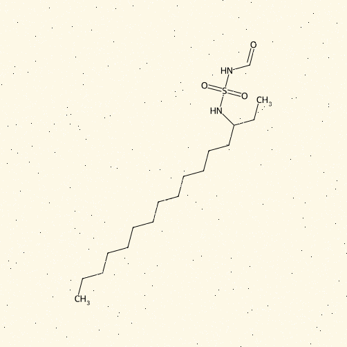 CCCCCCCCCCCCCC(CC)NS(=O)(=O)NC=O